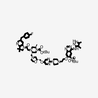 Cc1n[nH]c(Nc2ncnc3cc(OCCN4CCN(c5ncc(OC[C@H]6CN(C[C@H]7CN(C(=O)OC(C)(C)C)[C@H](C)CN7CC(=O)N7CC(C)(C)c8ncc(Cc9ccc(F)cc9)cc87)CCO6)cn5)CC4)c(S(=O)(=O)C(C)(C)C)cc23)c1C